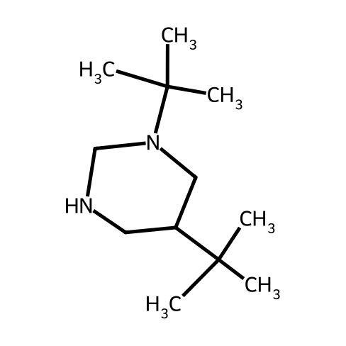 CC(C)(C)C1CNCN(C(C)(C)C)C1